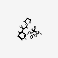 O=C(C[S+]1CCCC1)c1ccccc1.O=S(=O)([O-])C(F)(F)C(F)(F)F